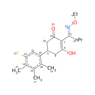 CCCC(=NOCC)C1=C(O)CC(c2cc(F)c(C)c(C)c2C)CC1=O